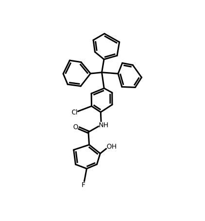 O=C(Nc1ccc(C(c2ccccc2)(c2ccccc2)c2ccccc2)cc1Cl)c1ccc(F)cc1O